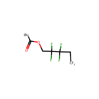 CCC(C)C(=O)OCC(F)(F)C(F)(F)CC(F)(F)F